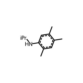 Cc1cc(C)c(NC(C)C)cc1C